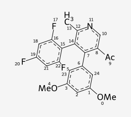 COc1cc(OC)cc(-c2c(C(C)=O)cnc(C)c2-c2c(F)cc(F)cc2F)c1